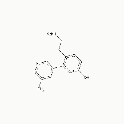 CC(=O)NCCc1ccc(O)cc1-c1cncc(C)c1